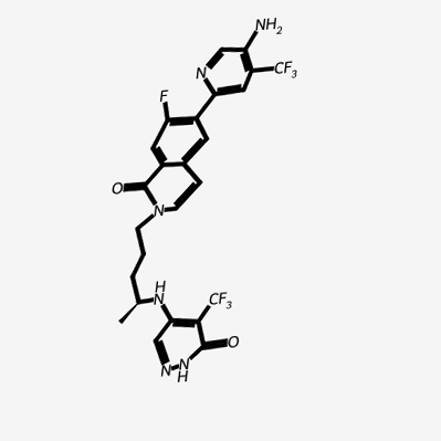 C[C@@H](CCCn1ccc2cc(-c3cc(C(F)(F)F)c(N)cn3)c(F)cc2c1=O)Nc1cn[nH]c(=O)c1C(F)(F)F